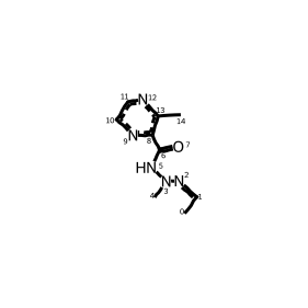 C/C=N\N(C)NC(=O)c1nccnc1C